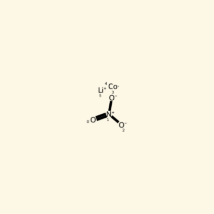 O=[N+]([O-])[O-].[Co].[Li+]